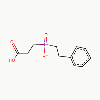 O=C(O)CCP(=O)(O)CCc1ccccc1